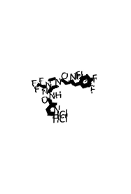 Cl.Cl.N[C@@H](CC(=O)N1CCn2c(C(F)(F)F)nc(NC(=O)c3cccnc3)c2C1)Cc1cc(F)c(F)cc1F